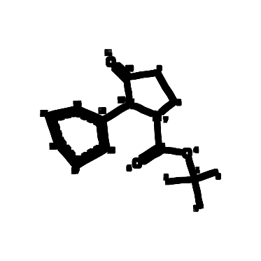 CC(C)(C)OC(=O)N1CCC(=O)N1c1ccccc1